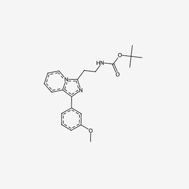 COc1cccc(-c2nc(CCNC(=O)OC(C)(C)C)n3ccccc23)c1